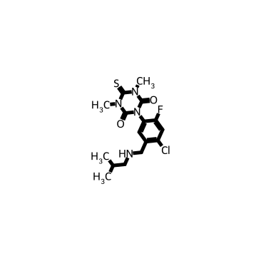 CC(C)CNCc1cc(-n2c(=O)n(C)c(=S)n(C)c2=O)c(F)cc1Cl